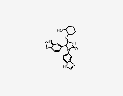 O=C1NC(=NC2CCCCC2O)C(c2ccc3nsnc3c2)N1c1ccc2[nH]cnc2c1